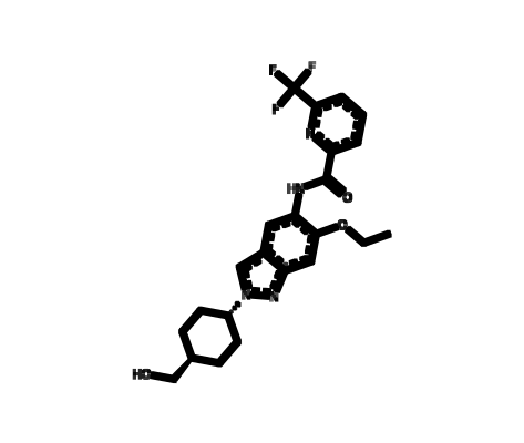 CCOc1cc2nn([C@H]3CC[C@H](CO)CC3)cc2cc1NC(=O)c1cccc(C(F)(F)F)n1